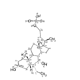 CC[C@H]1[C@@H](O)C2C3CCC([C@H](C)CCOS(=O)(=O)O)[C@@]3(C)CCC2[C@@]2(C)CC[C@@H](O)C[C@@H]12